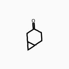 O=C1CC[C]2CC2C1